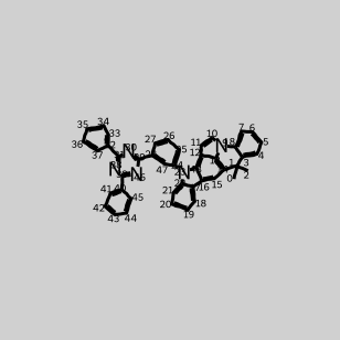 CC1(C)c2ccccc2-n2ccc3c2c1cc1c2ccccc2n(-c2cccc(-c4nc(-c5ccccc5)nc(-c5ccccc5)n4)c2)c13